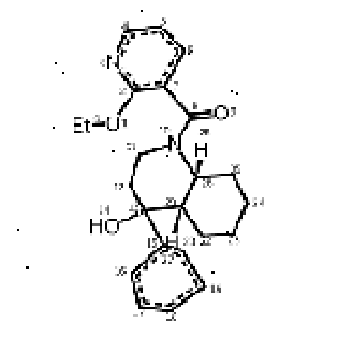 CCOc1ncccc1C(=O)N1CCC(O)(c2ccccc2)[C@H]2CCCC[C@H]21